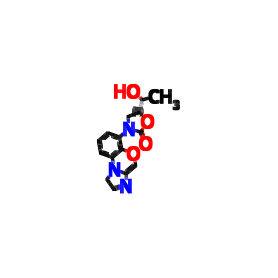 CC(O)[C@H]1CN(c2cccc3c2OC=C2N=CCN23)C(=O)O1